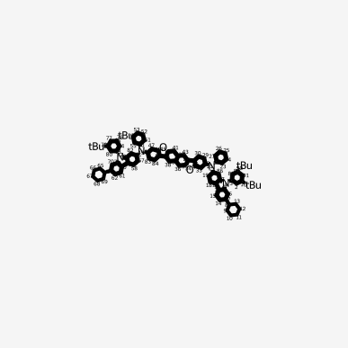 CC(C)(C)c1cc(-n2c3cc(C4CCCCC4)ccc3c3ccc(N(c4ccccc4)c4ccc5c(c4)oc4cc6cc7c(cc6cc45)oc4cc(N(c5ccccc5)c5ccc6c8ccc(C9CCCCC9)cc8n(-c8cc(C(C)(C)C)cc(C(C)(C)C)c8)c6c5)ccc47)cc32)cc(C(C)(C)C)c1